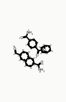 NC(=O)c1ccc(C(=O)n2c3ccc2cc3)cc1.NC(=O)c1ccc2cc(C=O)ccc2c1